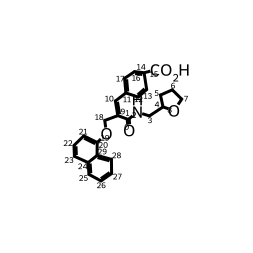 O=C(NCC1CCCO1)C(=Cc1ccc(C(=O)O)cc1)COc1cccc2ccccc12